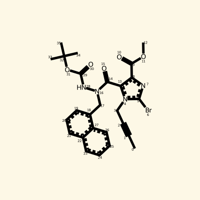 CC#CCn1c(Br)nc(C(=O)OC)c1C(=O)N(Cc1cccc2ccccc12)NC(=O)OC(C)(C)C